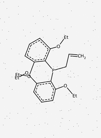 C=CCP(c1c(OCC)cccc1OCC)c1c(OCC)cccc1OCC